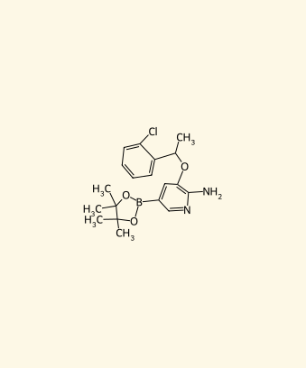 CC(Oc1cc(B2OC(C)(C)C(C)(C)O2)cnc1N)c1ccccc1Cl